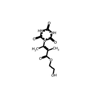 CC(C(=O)OCCO)=C(C)n1c(=O)[nH]c(=O)[nH]c1=O